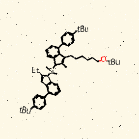 CCC1=Cc2c(-c3ccc(C(C)(C)C)cc3)cccc2C1[Si](C)(C)C1C(C)=C(CCCCCCOC(C)(C)C)c2c(-c3ccc(C(C)(C)C)cc3)cccc21